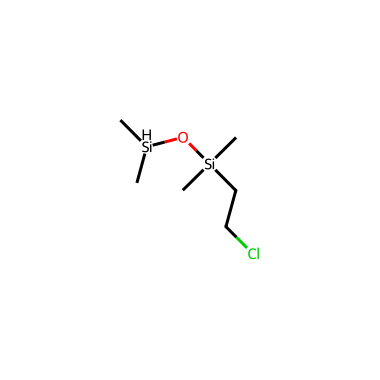 C[SiH](C)O[Si](C)(C)CCCl